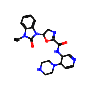 Cn1c(=O)n(C2CN=C(C(=O)NC3C=NC=CC3N3CCNCC3)O2)c2ccccc21